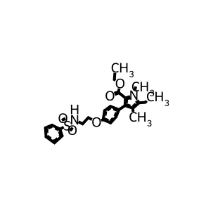 CCOC(=O)c1c(-c2ccc(OCCNS(=O)(=O)c3ccccc3)cc2)c(C)c(CC)n1C